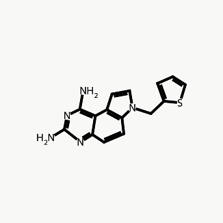 Nc1nc(N)c2c(ccc3c2ccn3Cc2cccs2)n1